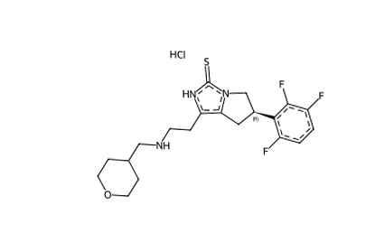 Cl.Fc1ccc(F)c([C@H]2Cc3c(CCNCC4CCOCC4)[nH]c(=S)n3C2)c1F